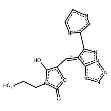 O=c1oc(/C=c2/c(-c3cnccn3)nn3nnnc23)c(O)n1CCS(=O)(=O)O